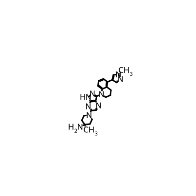 Cn1cc(-c2cccc3c2CCCN3c2n[nH]c3nc(N4CCC(C)(N)CC4)cnc23)cn1